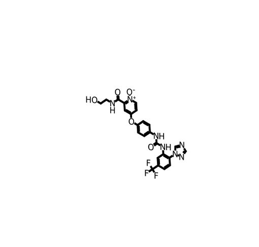 O=C(Nc1ccc(Oc2cc[n+]([O-])c(C(=O)NCCO)c2)cc1)Nc1cc(C(F)(F)F)ccc1-n1cncn1